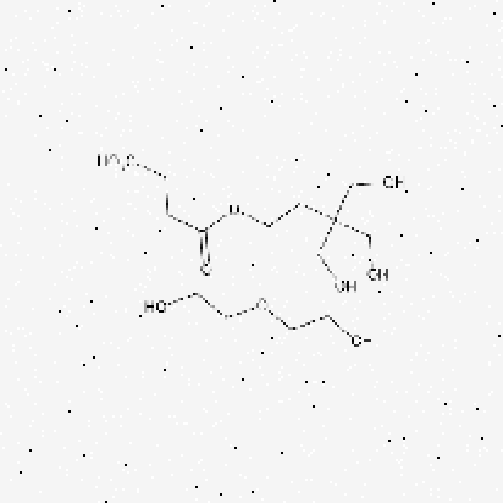 O=C(O)CCC(=O)OCCC(CO)(CO)CO.OCCOCCO